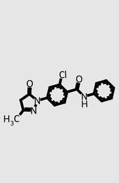 CC1=NN(c2ccc(C(=O)Nc3ccccc3)c(Cl)c2)C(=O)C1